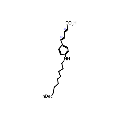 CCCCCCCCCCCCCCCCCCNc1ccc(/C=C/C=C/C(=O)O)cc1